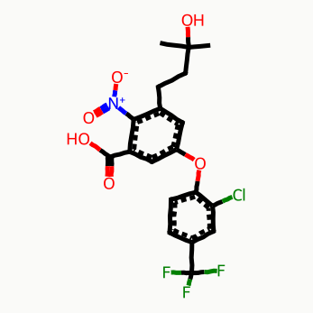 CC(C)(O)CCc1cc(Oc2ccc(C(F)(F)F)cc2Cl)cc(C(=O)O)c1[N+](=O)[O-]